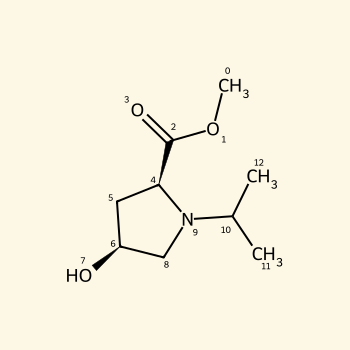 COC(=O)[C@@H]1C[C@H](O)CN1C(C)C